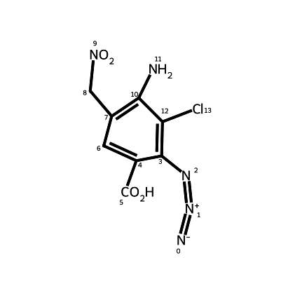 [N-]=[N+]=Nc1c(C(=O)O)cc(C[N+](=O)[O-])c(N)c1Cl